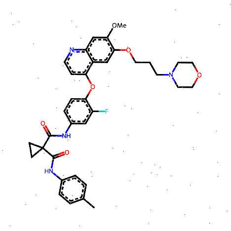 COc1cc2nccc(Oc3ccc(NC(=O)C4(C(=O)Nc5ccc(C)cc5)CC4)cc3F)c2cc1OCCCN1CCOCC1